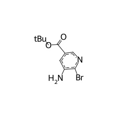 CC(C)(C)OC(=O)c1cnc(Br)c(N)c1